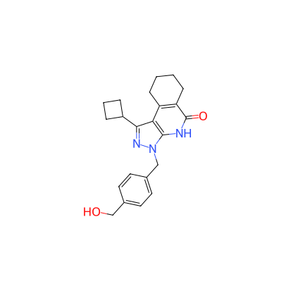 O=c1[nH]c2c(c(C3CCC3)nn2Cc2ccc(CO)cc2)c2c1CCCC2